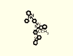 CC1(C)c2ccccc2-c2nc(-c3ccc(-c4nc5ccccc5n4-c4ccccc4)cc3)nc(-c3cccc(-c4cccc5c4sc4ccccc45)c3)c21